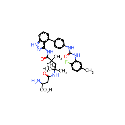 Cc1ccc(F)c(NC(=O)Nc2ccc(-c3cccc4[nH]nc(NC(=O)C(C)(C)CC(C)(C)NC(=O)C[C@H](N)C(=O)O)c34)cc2)c1